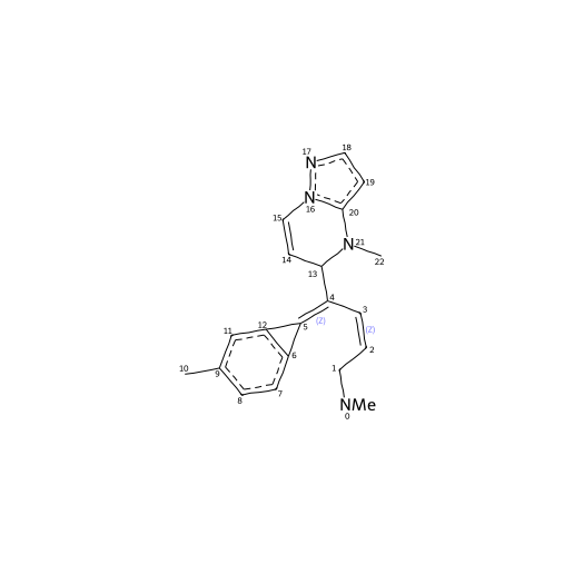 CNC/C=C\C(=C1/c2ccc(C)cc21)C1C=Cn2nccc2N1C